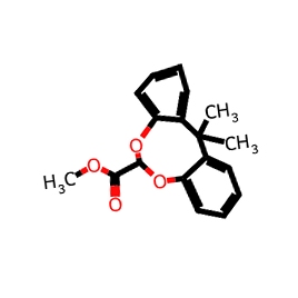 COC(=O)C1Oc2ccccc2C(C)(C)c2ccccc2O1